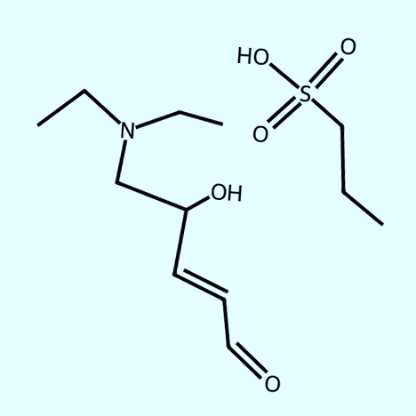 CCCS(=O)(=O)O.CCN(CC)CC(O)C=CC=O